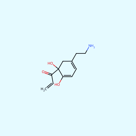 C=CC(=O)C1(O)CC(CCN)=CC=C1O